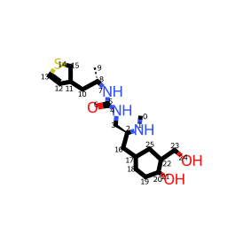 CN[C@H](CNC(=O)N[C@@H](C)CC1C=CSC1)CC1CCC(O)C(CO)C1